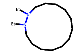 CCN1CCCCCCCCCCCCN1CC